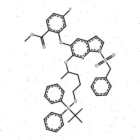 COC(=O)c1ccc(F)cc1Oc1cc2ccn(S(=O)(=O)Cc3ccccc3)c2nc1OC(C)CCCO[Si](c1ccccc1)(c1ccccc1)C(C)(C)C